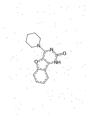 O=c1nc(N2CCCCC2)c2oc3ccccc3c2[nH]1